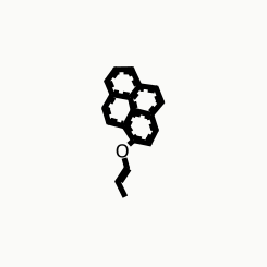 CC=COc1ccc2ccc3cccc4ccc1c2c34